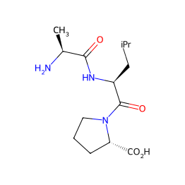 CC(C)C[C@H](NC(=O)[C@H](C)N)C(=O)N1CCC[C@H]1C(=O)O